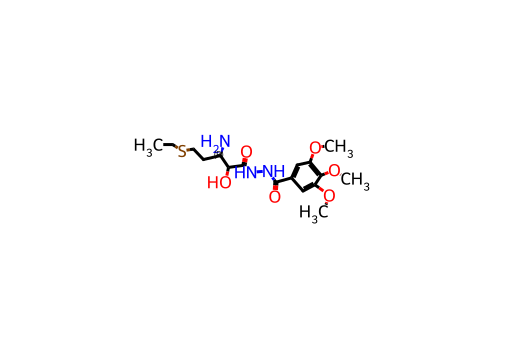 CCSCC[C@@H](N)C(O)C(=O)NNC(=O)c1cc(OC)c(OC)c(OC)c1